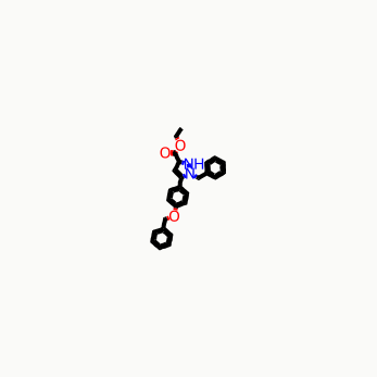 CCOC(=O)C1C=C(c2ccc(OCc3ccccc3)cc2)N(Cc2ccccc2)N1